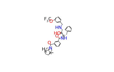 CC1(C)[C@@H]2CC[C@@]1(C)CN(C(=O)c1cccc(C(=O)N[C@@H](Cc3ccccc3)[C@H](O)CNCc3cccc(OC(F)(F)F)c3)c1)C2